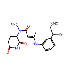 CCC(CC=O)c1cccc(N/C(C)=C/C(=O)N(C=O)C2CCC(=O)NC2=O)c1